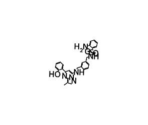 Cc1cnn2c(NCc3cccc(CNS(=O)(=O)c4ccccc4N)c3)cc(-c3ccccc3O)nc12